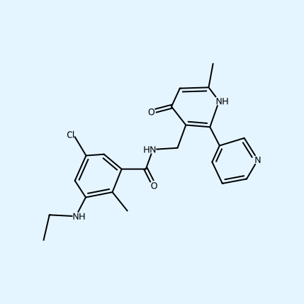 CCNc1cc(Cl)cc(C(=O)NCc2c(-c3cccnc3)[nH]c(C)cc2=O)c1C